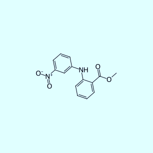 COC(=O)c1ccccc1Nc1cccc([N+](=O)[O-])c1